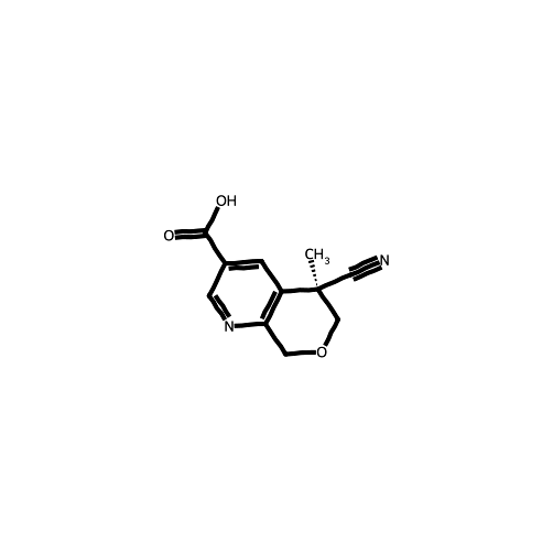 C[C@]1(C#N)COCc2ncc(C(=O)O)cc21